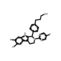 OCCCc1ccc(C2c3[nH]c4cc(F)c(Cl)cc4c3CCN2c2ncc(F)cn2)cc1